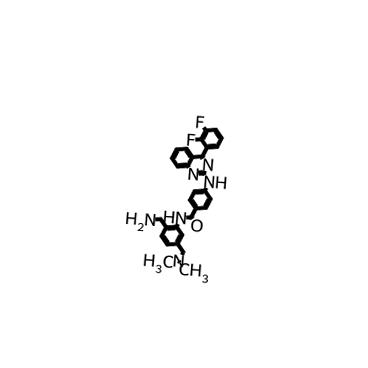 CN(C)Cc1ccc(CN)c(NC(=O)c2ccc(Nc3nc(-c4cccc(F)c4F)c4ccccc4n3)cc2)c1